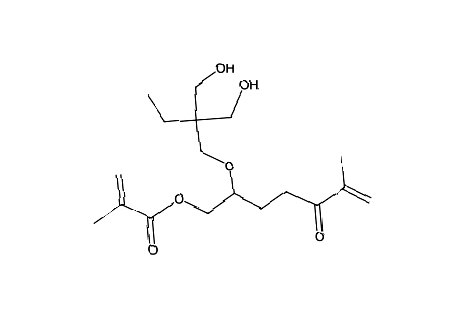 C=C(C)C(=O)CCC(COC(=O)C(=C)C)OCC(CC)(CO)CO